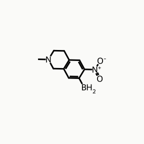 Bc1cc2c(cc1[N+](=O)[O-])CCN(C)C2